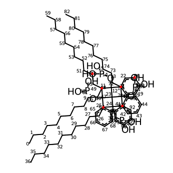 CCCCCCCCCCCCC(OP(O)O)(c1ccccc1)C(C(CCCCCCCCCCCC)(OP(O)O)c1ccccc1)(C(CCCCCCCCCCCC)(OP(O)O)c1ccccc1)C(CCCCCCCCCCCC)(OP(O)O)c1ccccc1